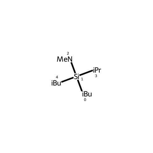 CCC(C)[Si](NC)(C(C)C)C(C)CC